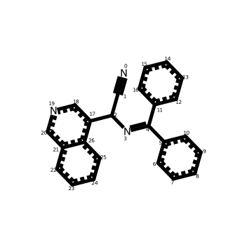 N#CC(N=C(c1ccccc1)c1ccccc1)c1cncc2ccccc12